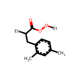 CCOOC(=O)C(CC)Cc1ccc(C)cc1C